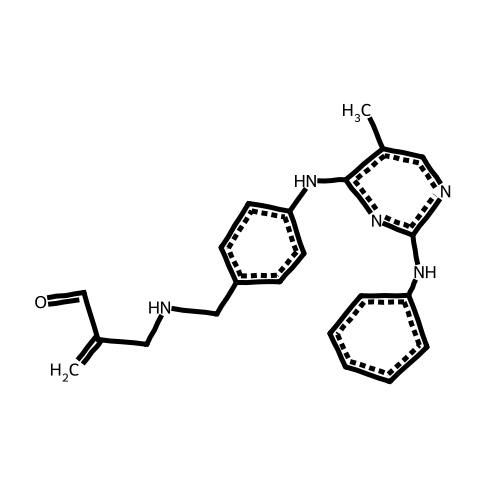 C=C(C=O)CNCc1ccc(Nc2nc(Nc3ccccc3)ncc2C)cc1